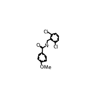 COc1ccc(C(=O)[N]Cc2c(Cl)cccc2Cl)cc1